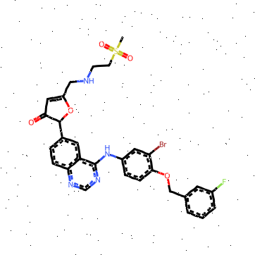 CS(=O)(=O)CCNCC1=CC(=O)C(c2ccc3ncnc(Nc4ccc(OCc5cccc(F)c5)c(Br)c4)c3c2)O1